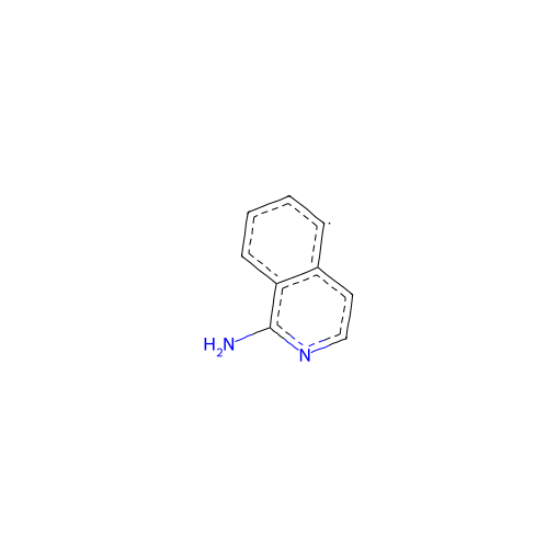 Nc1nccc2[c]cccc12